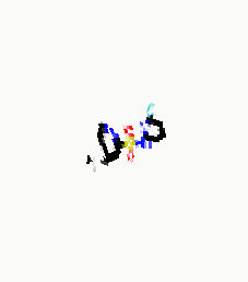 Cc1ccnc(S(=O)(=O)Nc2cccc(F)n2)c1